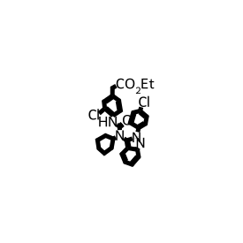 CCOC(=O)Cc1ccc(NC(=O)N(c2c3ccccc3nn2-c2ccc(Cl)cc2)C2CCCCC2)c(Cl)c1